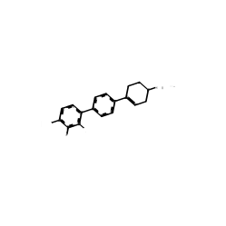 CCCCCC1CC=C(c2ccc(-c3ccc(CC)c(F)c3Cl)cc2)CC1